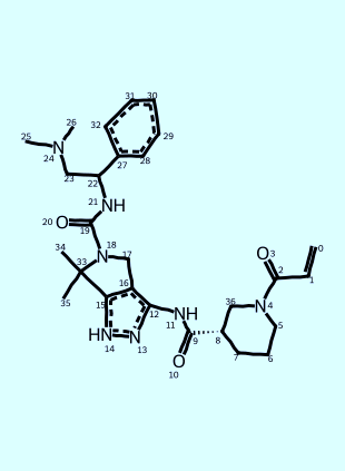 C=CC(=O)N1CCC[C@H](C(=O)Nc2n[nH]c3c2CN(C(=O)NC(CN(C)C)c2ccccc2)C3(C)C)C1